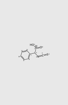 O=[PH](O)C(N=C=S)c1ccccc1